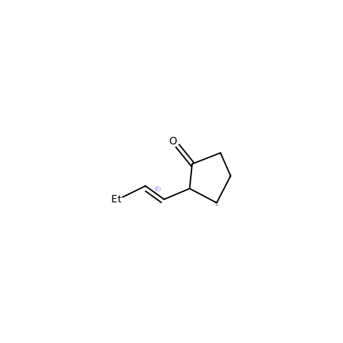 CC/C=C/C1[CH]CCC1=O